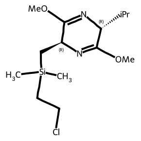 COC1=N[C@H](C(C)C)C(OC)=N[C@H]1C[Si](C)(C)CCCl